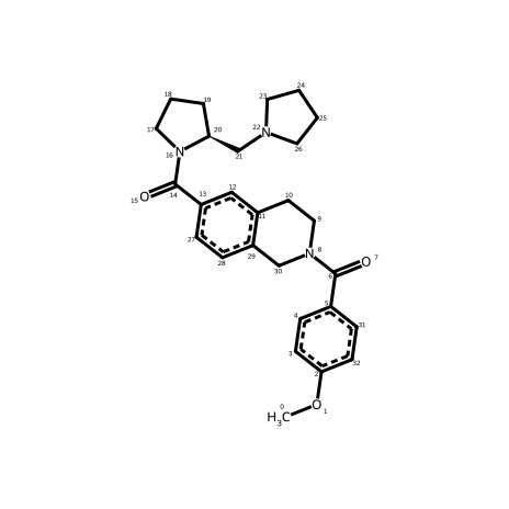 COc1ccc(C(=O)N2CCc3cc(C(=O)N4CCC[C@H]4CN4CCCC4)ccc3C2)cc1